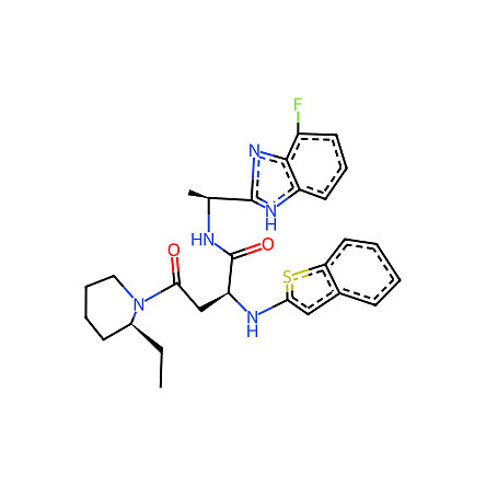 CC[C@H]1CCCCN1C(=O)C[C@H](Nc1cc2ccccc2s1)C(=O)N[C@@H](C)c1nc2c(F)cccc2[nH]1